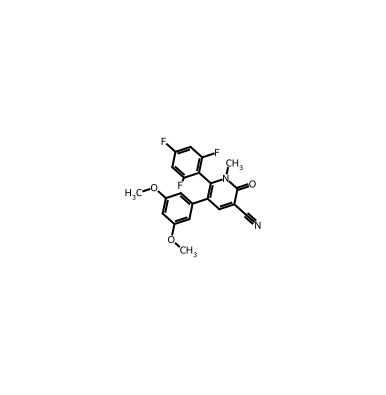 COc1cc(OC)cc(-c2cc(C#N)c(=O)n(C)c2-c2c(F)cc(F)cc2F)c1